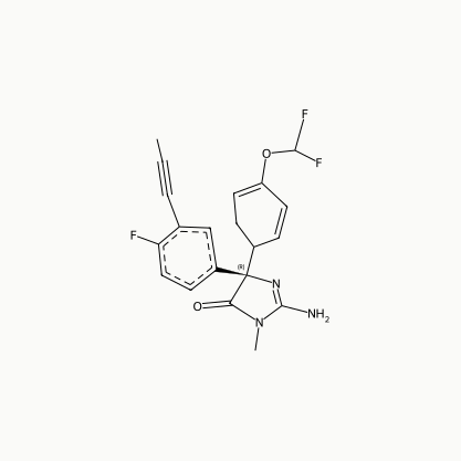 CC#Cc1cc([C@@]2(C3C=CC(OC(F)F)=CC3)N=C(N)N(C)C2=O)ccc1F